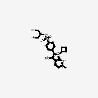 Cc1ccc2c(C#N)c(-c3ccc(S(=O)(=O)NC(CF)CF)cc3)n(C3CCC3)c2n1